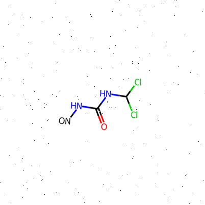 O=NNC(=O)NC(Cl)Cl